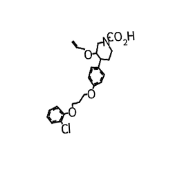 C=CCOC1CN(C(=O)O)CCC1c1ccc(OCCCOc2ccccc2Cl)cc1